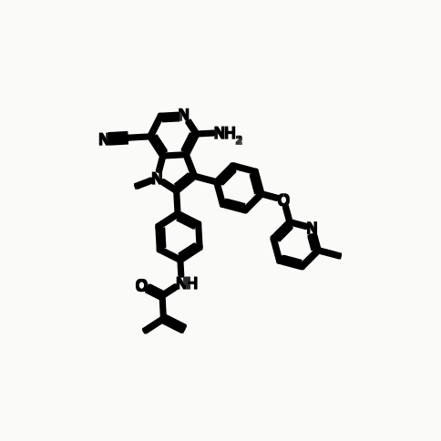 C=C(C)C(=O)Nc1ccc(-c2c(-c3ccc(Oc4cccc(C)n4)cc3)c3c(N)ncc(C#N)c3n2C)cc1